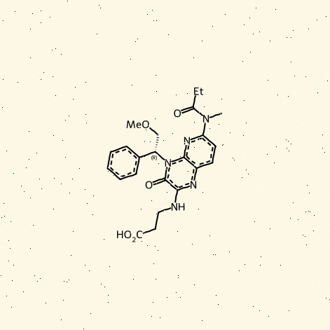 CCC(=O)N(C)c1ccc2nc(NCCC(=O)O)c(=O)n([C@@H](COC)c3ccccc3)c2n1